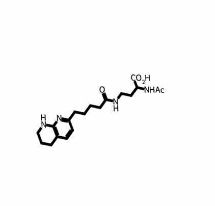 CC(=O)NC(CCNC(=O)CCCCc1ccc2c(n1)NCCC2)C(=O)O